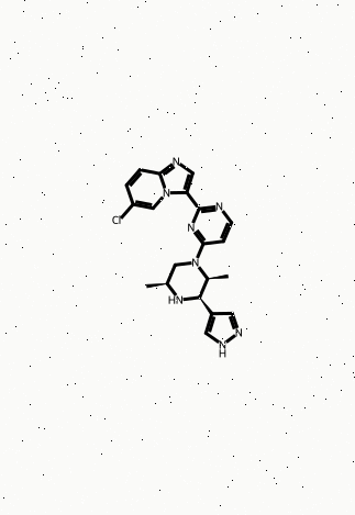 C[C@H]1CN(c2ccnc(-c3cnc4ccc(Cl)cn34)n2)[C@@H](C)[C@@H](c2cn[nH]c2)N1